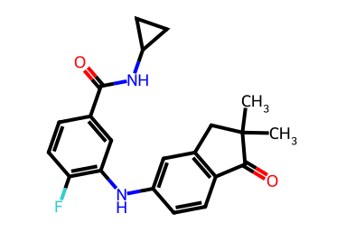 CC1(C)Cc2cc(Nc3cc(C(=O)NC4CC4)ccc3F)ccc2C1=O